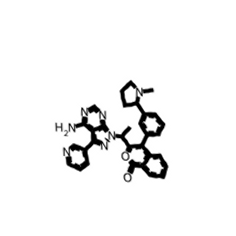 CC(c1oc(=O)c2ccccc2c1-c1cccc(C2CCCN2C)c1)n1nc(-c2cccnc2)c2c(N)ncnc21